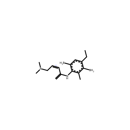 Bc1cc(CC)c(B)c(C)c1NC(=C)/C=C\CN(C)C